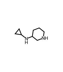 C1CNCC(NC2CC2)C1